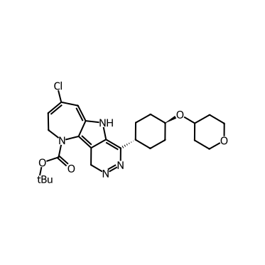 CC(C)(C)OC(=O)N1CC=C(Cl)C=c2[nH]c3c(c21)CN=NC=3[C@H]1CC[C@H](OC2CCOCC2)CC1